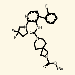 CC(C)(C)OC(=O)N1CC2(CCN(C(=O)Nc3c(-c4ccccc4F)ccnc3N3CCC(F)(F)C3)CC2)C1